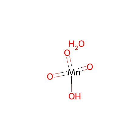 O.[O]=[Mn](=[O])(=[O])[OH]